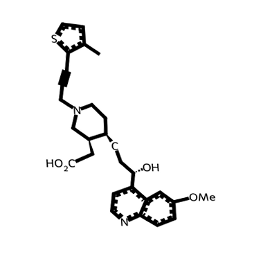 COc1ccc2nccc([C@@H](O)CC[C@@H]3CCN(CC#Cc4sccc4C)C[C@@H]3CC(=O)O)c2c1